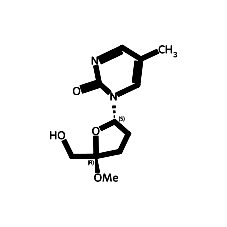 CO[C@]1(CO)CC[C@@H](n2cc(C)cnc2=O)O1